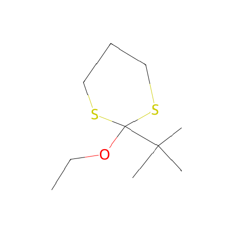 CCOC1(C(C)(C)C)SCCCS1